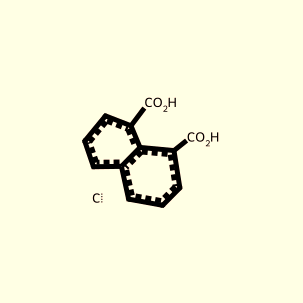 O=C(O)c1cccc2cccc(C(=O)O)c12.[C]